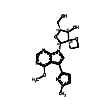 COc1ncnc2c1c(-c1ccn(C)n1)cn2[C@@H]1O[C@H](CO)[C@@H](O)[C@]12CCO2